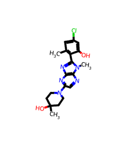 Cc1cc(Cl)cc(O)c1-c1nc2nc(N3CCC(C)(O)CC3)cnc2n1C